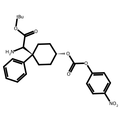 CC(C)(C)OC(=O)C(N)[C@]1(c2ccccc2)CC[C@@H](OC(=O)Oc2ccc([N+](=O)[O-])cc2)CC1